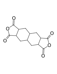 O=C1OC(=O)C2CC3CC4C(=O)OC(=O)C4CC3CC12